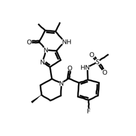 Cc1[nH]c2cc(C3C[C@H](C)CCN3C(=O)c3cc(F)ccc3NS(C)(=O)=O)nn2c(=O)c1C